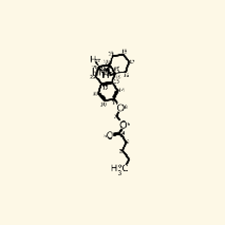 CCCCC(=O)OCOc1ccc2c(c1)[C@@]13CCCC[C@H]1[C@@H](C2)NCC3